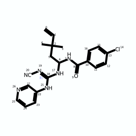 C=CC(C)(C)CC(NC(=O)c1ccc(Cl)cc1)N/C(=N/C#N)Nc1cccnc1